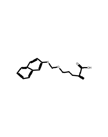 C=C(CCCOCSc1ccc2ccccc2c1)C(=O)O